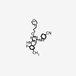 Cc1cc(F)c(Nc2nc(Nc3ccc(C#N)cc3)nc(OCCCN3CCOCC3)n2)c(F)c1